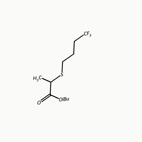 CC(C)COC(=O)C(C)SCCCC(F)(F)F